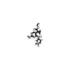 CCOC(=O)C1(c2cnc(SC)nc2NC2CC[Si](C)(C)C2)CC1